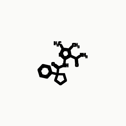 Cc1sc(NC(=O)C2(c3ccccc3)CCCC2)c(C(N)=O)c1C